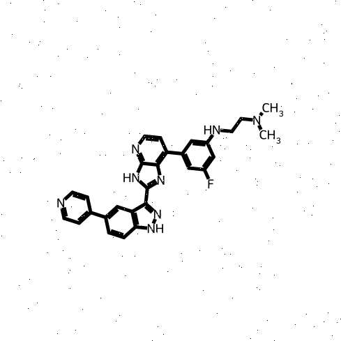 CN(C)CCNc1cc(F)cc(-c2ccnc3[nH]c(-c4n[nH]c5ccc(-c6ccncc6)cc45)nc23)c1